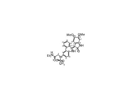 CCNC(=O)CN(c1ccc(N/C(=C2\C(=O)Nc3cc(OC)c(OC)cc32)c2ccccc2)cc1)S(C)(=O)=O